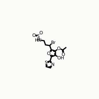 CC(=O)Oc1c(C(Br)CCN[SH](=O)=O)oc(-c2nccs2)c1O